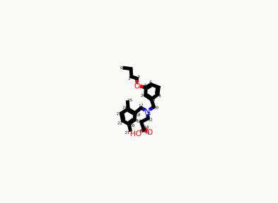 CCCCOc1cccc(CN(CCC(=O)O)Cc2cc(C)ccc2C)c1